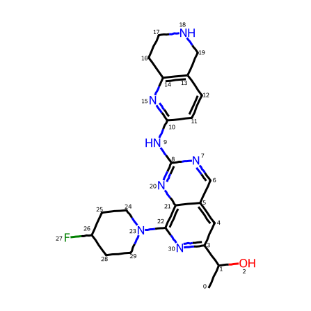 CC(O)c1cc2cnc(Nc3ccc4c(n3)CCNC4)nc2c(N2CCC(F)CC2)n1